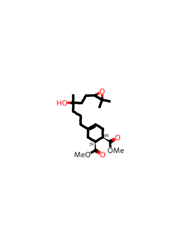 COC(=O)[C@H]1CC(CCCC(C)(O)CCC2OC2(C)C)=CC[C@H]1C(=O)OC